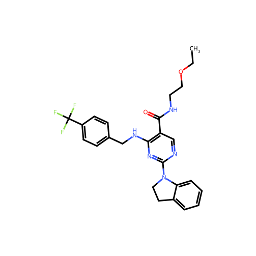 CCOCCNC(=O)c1cnc(N2CCc3ccccc32)nc1NCc1ccc(C(F)(F)F)cc1